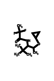 CC(OC1CC1)C(NC(=O)C(C)(F)F)C(C)(C)C